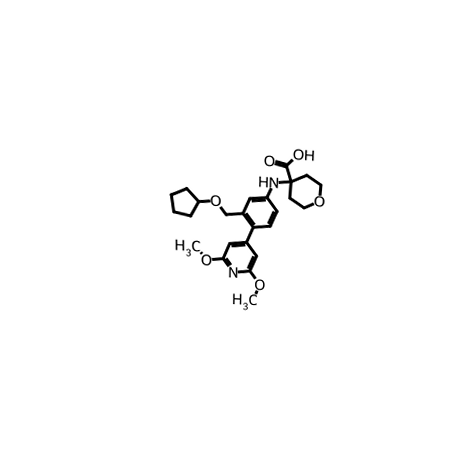 COc1cc(-c2ccc(NC3(C(=O)O)CCOCC3)cc2COC2CCCC2)cc(OC)n1